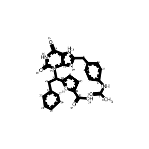 CC(=O)Nc1ccc(Cc2nc3c([nH]2)c(=O)[nH]c(=O)n3C(Cc2ccccc2)c2ccc(C(=O)O)o2)cc1